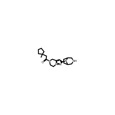 CC1(CC(=O)N2CCn3nc(N4C5CCC4CNC5)cc3C2)CCCC1